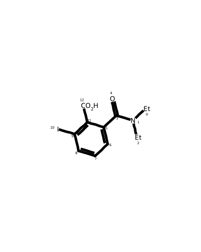 CCN(CC)C(=O)c1cccc(I)c1C(=O)O